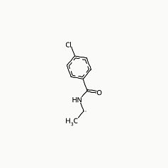 C[CH]NC(=O)c1ccc(Cl)cc1